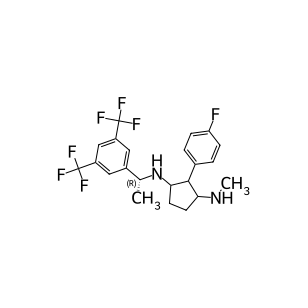 CNC1CCC(N[C@H](C)c2cc(C(F)(F)F)cc(C(F)(F)F)c2)C1c1ccc(F)cc1